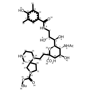 CC(=O)N[C@H]1[C@H]([C@H](O)[C@H](O)CNC(=O)c2cc(C)c(O)c(C)c2)O[C@@](CCN2CCNC[C@@]23CCN(C(=O)OC(C)(C)C)C3)(C(=O)O)C[C@@H]1O